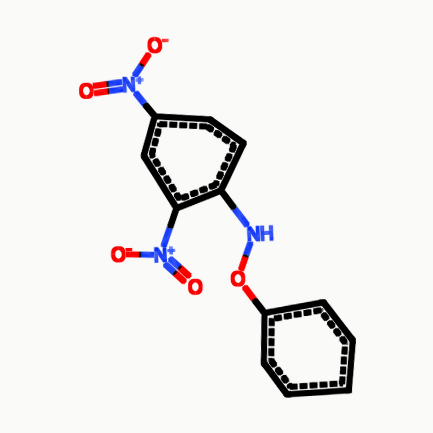 O=[N+]([O-])c1ccc(NOc2ccccc2)c([N+](=O)[O-])c1